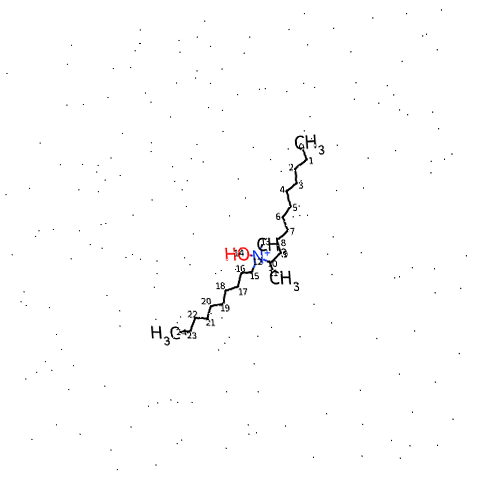 CCCCCCCCCCC(C)[N+](C)(O)CCCCCCCCCC